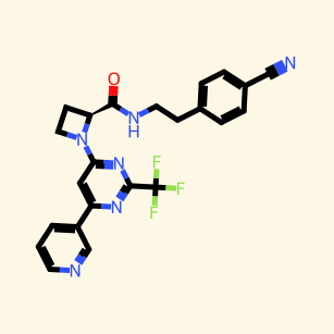 N#Cc1ccc(CCNC(=O)[C@@H]2CCN2c2cc(-c3cccnc3)nc(C(F)(F)F)n2)cc1